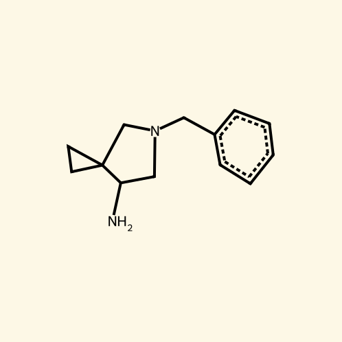 NC1CN(Cc2ccccc2)CC12CC2